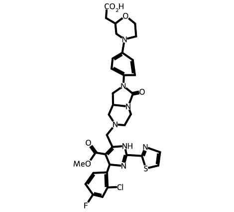 COC(=O)C1=C(CN2CCN3C(=O)N(c4ccc(N5CCOC(CC(=O)O)C5)cc4)CC3C2)NC(c2nccs2)=NC1c1ccc(F)cc1Cl